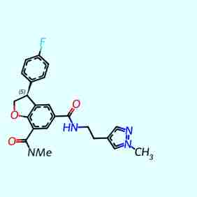 CNC(=O)c1cc(C(=O)NCCc2cnn(C)c2)cc2c1OC[C@H]2c1ccc(F)cc1